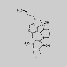 CNC[C@H]([C@@H](O)C1CCCC1)N1CCCC([C@@](O)(CCCCOC)c2cccc(F)c2)C1